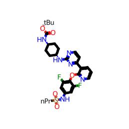 CCCS(=O)(=O)Nc1cc(F)c(Oc2ncccc2-c2ccnc(N[C@H]3CC[C@H](NC(=O)OC(C)(C)C)CC3)n2)c(F)c1